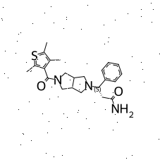 Cc1sc(C)c(C(=O)N2CC3CN([C@@H](CC(N)=O)c4ccccc4)CC3C2)c1C